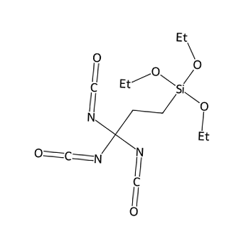 CCO[Si](CCC(N=C=O)(N=C=O)N=C=O)(OCC)OCC